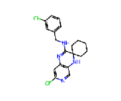 Clc1cccc(CNC2=Nc3cc(Cl)ncc3NC23CCCCC3)c1